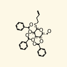 C=CCCS[C@H]1O[C@H](C=O)[C@H](OC(=O)c2ccccc2)[C@H](OC(=O)c2ccccc2)[C@H]1OC(=O)c1ccccc1